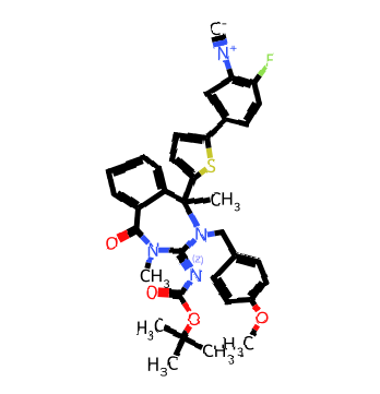 [C-]#[N+]c1cc(-c2ccc(C3(C)c4ccccc4C(=O)N(C)/C(=N\C(=O)OC(C)(C)C)N3Cc3ccc(OC)cc3)s2)ccc1F